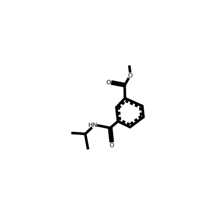 COC(=O)c1cccc(C(=O)NC(C)C)c1